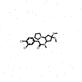 CSC1(SC)CC(N2CCCC2)C(N(C)C(=O)Cc2ccc(Cl)c(Cl)c2)C1